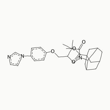 COC(=O)C12CC3CC(C1)C(N1CC(COc4ccc(-n5ccnc5)cc4)C(C)(C)C1=O)C(C3)C2